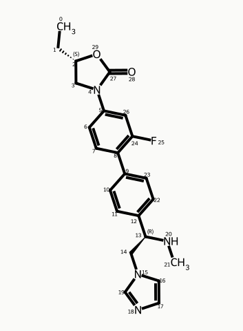 CC[C@H]1CN(c2ccc(-c3ccc([C@H](Cn4ccnc4)NC)cc3)c(F)c2)C(=O)O1